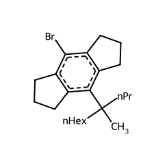 CCCCCCC(C)(CCC)c1c2c(c(Br)c3c1CCC3)CCC2